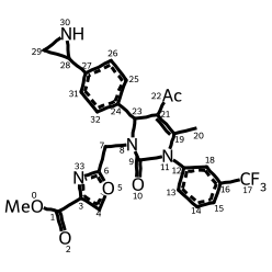 COC(=O)c1coc(CN2C(=O)N(c3cccc(C(F)(F)F)c3)C(C)=C(C(C)=O)C2c2ccc(C3CN3)cc2)n1